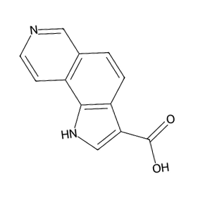 O=C(O)c1c[nH]c2c1ccc1cnccc12